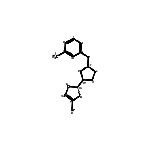 FC(F)(F)c1cccc(CN2CC[C@@H]([C@@H]3CC(Br)=NO3)C2)c1